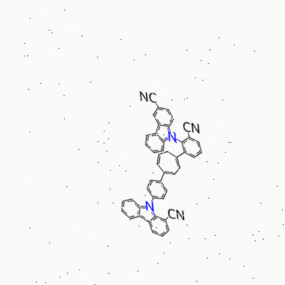 N#Cc1ccc2c(c1)c1ccccc1n2-c1c(C#N)cccc1C1=CC=C(c2ccc(-n3c4ccccc4c4cccc(C#N)c43)cc2)C=CC1